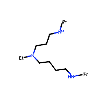 CCN(CCCCNC(C)C)CCCNC(C)C